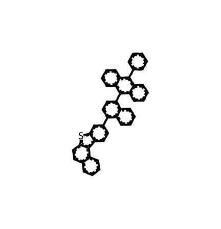 c1ccc(-c2c3ccccc3c(-c3ccc(-c4ccc5c(c4)sc4ccc6ccccc6c45)c4ccccc34)c3ccccc23)cc1